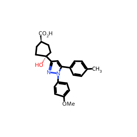 COc1ccc(-n2nc([C@]3(O)CC[C@H](C(=O)O)CC3)cc2-c2ccc(C)cc2)cc1